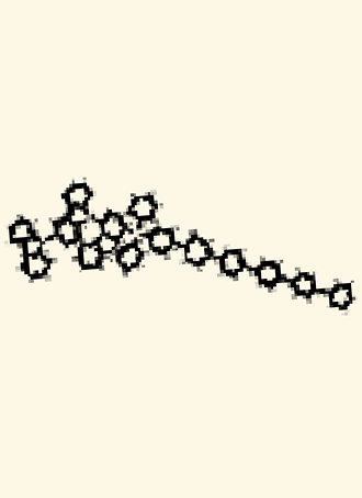 C1=C(n2c3ccccc3c3cc(-n4c5ccccc5c5ccccc54)ccc32)C2c3ccccc3SC2C([Si](c2ccccc2)(c2ccccc2)c2ccc(-c3ccc(-c4ccc(-c5ccc(-c6ccc(-c7ccccc7)cc6)cc5)cc4)cc3)cc2)=C1